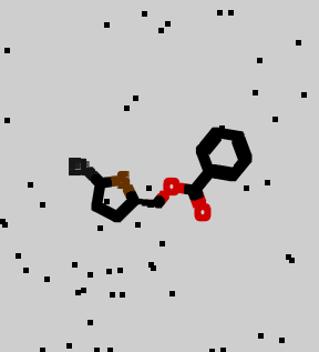 CCC1CC[C@@H](COC(=O)c2ccccc2)S1